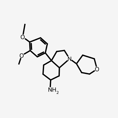 COc1ccc(C23CCC(N)CC2N(C2CCOCC2)CC3)cc1OC